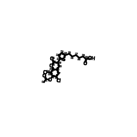 CC(=O)Oc1c(Cl)cc2cc(-c3ccc(CCCCCC(=O)O)s3)c(=O)oc2c1Cl